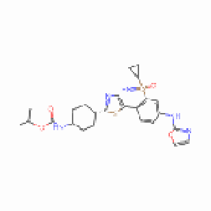 CC(C)OC(=O)N[C@H]1CC[C@H](c2ncc(-c3ccc(Nc4ncco4)cc3S(=N)(=O)C3CC3)s2)CC1